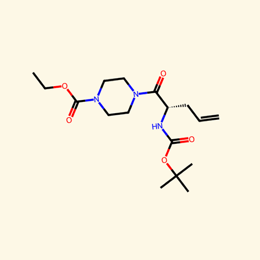 C=CC[C@H](NC(=O)OC(C)(C)C)C(=O)N1CCN(C(=O)OCC)CC1